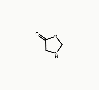 O=C1CNC[N]1